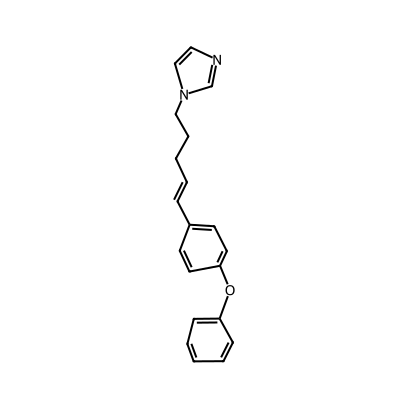 C(=Cc1ccc(Oc2ccccc2)cc1)CCCn1ccnc1